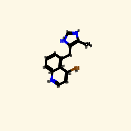 Cc1nc[nH]c1Cc1cccc2nccc(S)c12